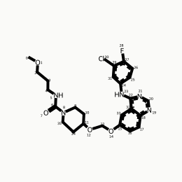 COCCCNC(=O)N1CCC(OCOc2ccc3ncnc(Nc4ccc(F)c(Cl)c4)c3c2)CC1